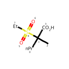 CCCC(C)(C(=O)O)S(=O)(=O)CC